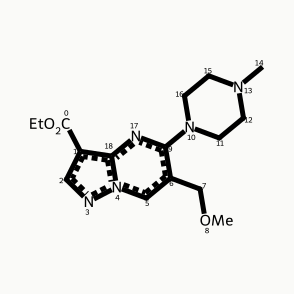 CCOC(=O)c1cnn2cc(COC)c(N3CCN(C)CC3)nc12